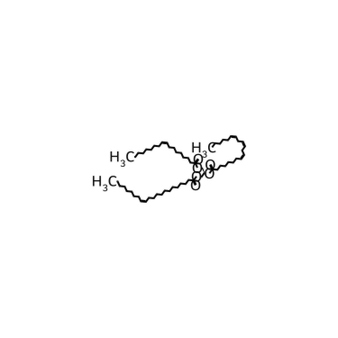 CCCCC/C=C\C/C=C\C/C=C\CCCCCCC(=O)O[C@H](COC(=O)CCCCCCC/C=C\CCCCCCCC)COC(=O)CCCCCCCCCCC/C=C\CCCCCCCC